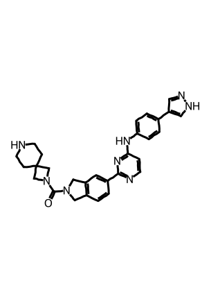 O=C(N1Cc2ccc(-c3nccc(Nc4ccc(-c5cn[nH]c5)cc4)n3)cc2C1)N1CC2(CCNCC2)C1